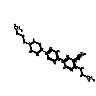 CCCC[C@H]1CC[C@H](c2ccc(-c3ccc(CCC)c(C#N)c3)cc2)CC1